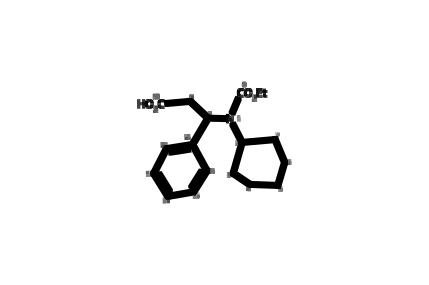 CCOC(=O)N(C1CCCCC1)C(CC(=O)O)c1ccccc1